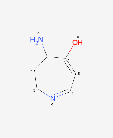 NC1CCN=CC=C1O